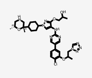 CC(O)COc1nn(C2CCC([C@@]3(C)CNC[C@@H](C)O3)CC2)cc1Nc1ncc(-c2ccc(Cl)c(OC(C)Cn3cnnn3)c2)cn1